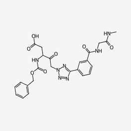 CNC(=O)CNC(=O)c1cccc(-c2nnn(CC(=O)C(CC(=O)O)NC(=O)OCc3ccccc3)n2)c1